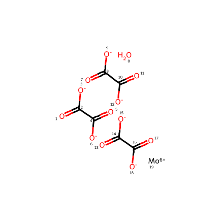 O.O=C([O-])C(=O)[O-].O=C([O-])C(=O)[O-].O=C([O-])C(=O)[O-].[Mo+6]